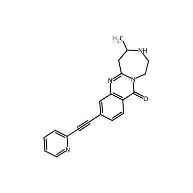 CC1Cc2nc3cc(C#Cc4ccccn4)ccc3c(=O)n2CCN1